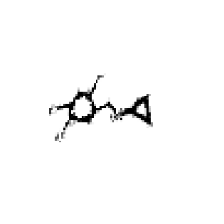 CCc1cc(F)c(CNC2CC2)cc1C